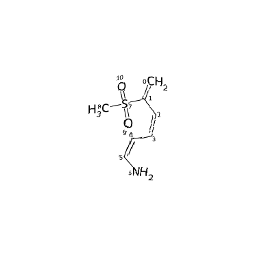 C=C(/C=C\C=C/N)S(C)(=O)=O